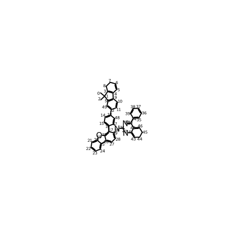 CC1(C)C2=C(C=CCC2)c2ccc(-c3ccc4c5c6oc7ccccc7c6ccc5n(-c5nc(-c6ccccc6)c6c(n5)=CCCC=6)c4c3)cc21